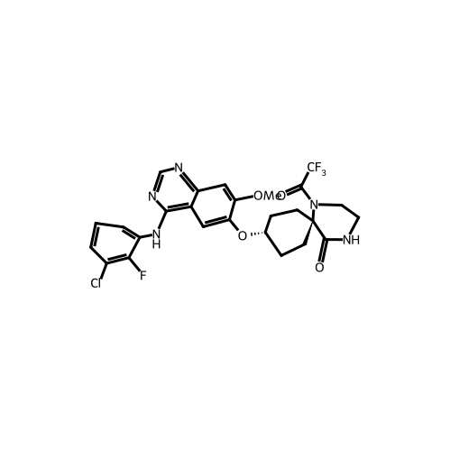 COc1cc2ncnc(Nc3cccc(Cl)c3F)c2cc1O[C@H]1CC[C@]2(CC1)C(=O)NCCN2C(=O)C(F)(F)F